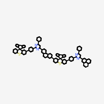 C1=Cc2cc(-c3cc(-c4ccccc4)nc(-c4ccc(-c5ccc6c(c5)C5(c7cc(-c8ccc9c(ccc%10cc(-c%11cc(-c%12ccccc%12)nc(-c%12ccc(-c%13ccc%14c(c%13)C%13(c%15ccccc%15S%14)c%14ccccc%14-c%14ccccc%14%13)cc%12)n%11)ccc%109)c8)ccc7S6)c6ccccc6-c6ccccc65)cc4)n3)cc3cccc(c23)C1